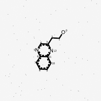 [O]CCc1cnc2ccccc2n1